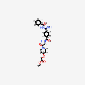 CCOC(=O)COC1CCN(C(=O)CNC(=O)c2ccc(C(=N)NC(=O)c3ccccc3)cc2)CC1